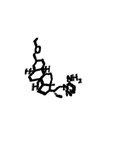 CCOC[C@H]1CC[C@@H]2C3CC[C@]4(C)C([C@@H](CC)Cn5nccc5N)CCC4[C@@H]3CC[C@@H]2C1